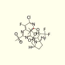 CC(C)(C)OC(=O)N1[C@@H]2CC[C@H]1[C@@H]1C(C(F)(F)F)Oc3nc(Cl)c(F)c4nc(S(C)(=O)=O)nc(c34)N1C2